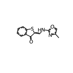 Cc1coc(N/C=C2\Sc3ccccc3C2=O)n1